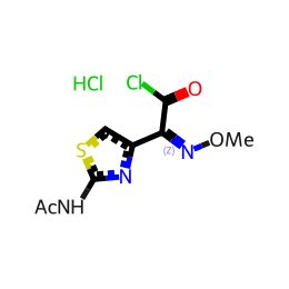 CO/N=C(\C(=O)Cl)c1csc(NC(C)=O)n1.Cl